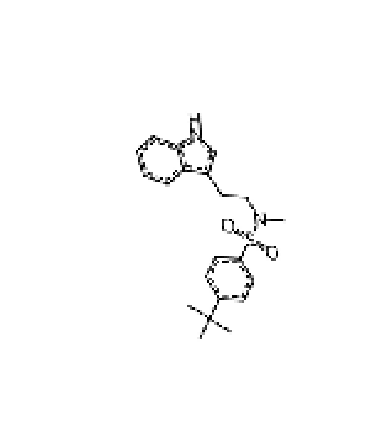 CN(CCc1c[nH]c2ccccc12)S(=O)(=O)c1ccc(C(C)(C)C)cc1